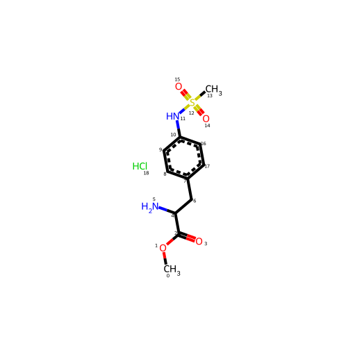 COC(=O)C(N)Cc1ccc(NS(C)(=O)=O)cc1.Cl